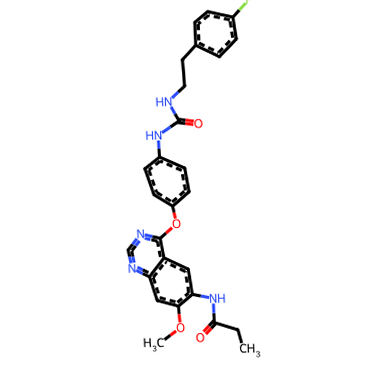 CCC(=O)Nc1cc2c(Oc3ccc(NC(=O)NCCc4ccc(F)cc4)cc3)ncnc2cc1OC